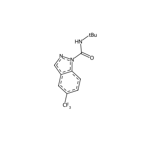 CC(C)(C)NC(=O)n1ncc2cc(C(F)(F)F)ccc21